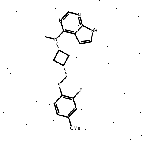 COc1ccc(SC[C@H]2C[C@@H](N(C)c3ncnc4[nH]ccc34)C2)c(F)c1